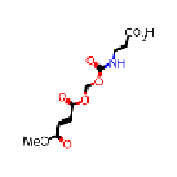 COC(=O)/C=C/C(=O)OCOC(=O)NCCC(=O)O